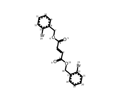 O=C(/C=C/C(=O)OCc1ccccc1Br)OCc1ccccc1Br